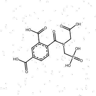 O=C(O)CN(CP(=O)(O)O)C(=O)c1ccc(C(=O)O)cc1C(=O)O